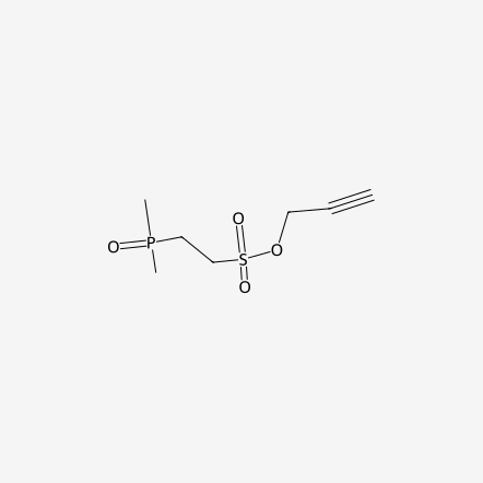 C#CCOS(=O)(=O)CCP(C)(C)=O